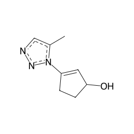 Cc1cnnn1C1=CC(O)CC1